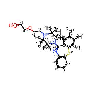 [2H]c1c([2H])c([2H])c2c(c1[2H])Sc1ccccc1N=C2N1C([2H])([2H])C([2H])([2H])N(CCOCCO)C([2H])([2H])C1([2H])[2H]